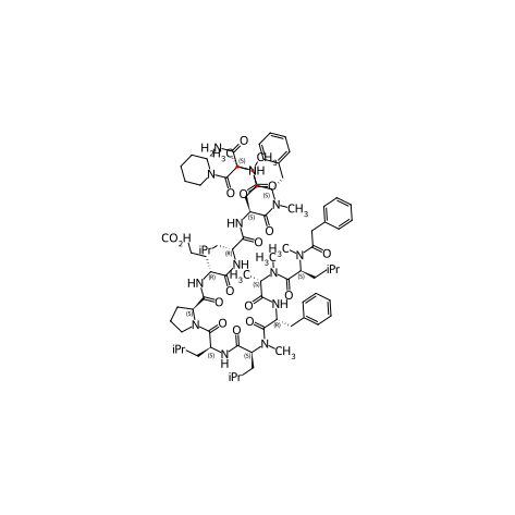 CC(C)C[C@H](NC(=O)[C@H](CC(C)C)N(C)C(=O)[C@@H](Cc1ccccc1)NC(=O)[C@H](C)N(C)C(=O)[C@H](CC(C)C)N(C)C(=O)Cc1ccccc1)C(=O)N1CCC[C@H]1C(=O)N[C@H](CCC(=O)O)C(=O)N[C@H](CC(C)C)C(=O)N[C@@H](CC(=O)N(C)CC(N)=O)C(=O)N(C)[C@@H](Cc1ccccc1)C(=O)N[C@@H](C)C(=O)N1CCCCC1